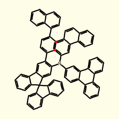 c1ccc2c(c1)-c1ccccc1C21c2ccccc2-c2cc(-c3ccc(-c4cccc5ccccc45)cc3)c(N(c3ccc4ccc5ccccc5c4c3)c3ccc4c5ccccc5c5ccccc5c4c3)cc21